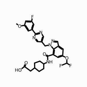 COc1cc(F)cc(-c2ncc(Cn3ncc4cc(OC(F)F)cc(C(=O)NC5CCC(CC(=O)O)CC5)c43)cn2)c1